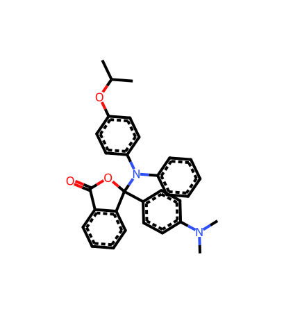 CC(C)Oc1ccc(N(c2ccccc2)C2(c3ccc(N(C)C)cc3)OC(=O)c3ccccc32)cc1